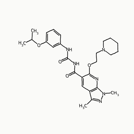 Cc1nn(C)c2nc(OCCN3CCCCC3)c(C(=O)NC(=O)Nc3cccc(OC(C)C)c3)cc12